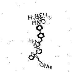 COCCCn1c(C2CCCN(C(=O)CC(N)Cc3ccc(-c4ccc(NC(=O)N(C)C)cc4)cc3)C2)nc2ccccc21